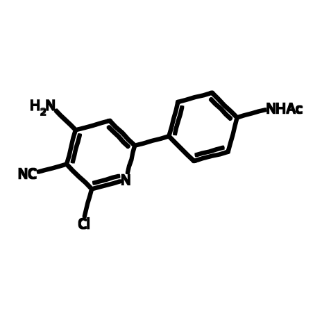 CC(=O)Nc1ccc(-c2cc(N)c(C#N)c(Cl)n2)cc1